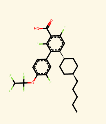 CCCCC[C@H]1CC[C@H](c2cc(F)c(C(=O)O)c(F)c2-c2ccc(OC(F)(F)C(F)F)c(F)c2)CC1